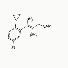 B/C(=C(/N)CNC)c1cc(CC)ccc1C1CC1